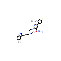 COc1cc(F)ccc1-c1cnc(N2CCN(CCCc3c[nH]c4ccc(C#N)cc34)CC2)c(C(N)=O)c1